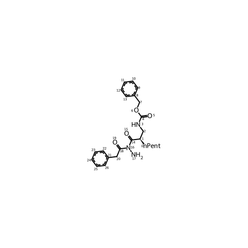 CCCCC[C@H](CNC(=O)OCc1ccccc1)C(=O)N(N)C(=O)Cc1ccccc1